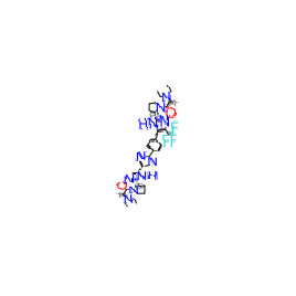 CCN(CC)[C@H](C)C(=O)N1CCC[C@H]1c1ncc(-c2cnc(-c3ccc(-c4[nH]c([C@@H]5CCCN5C(=O)[C@@H](C)N(CC)CC)nc4C(F)(F)F)cc3)nc2)[nH]1